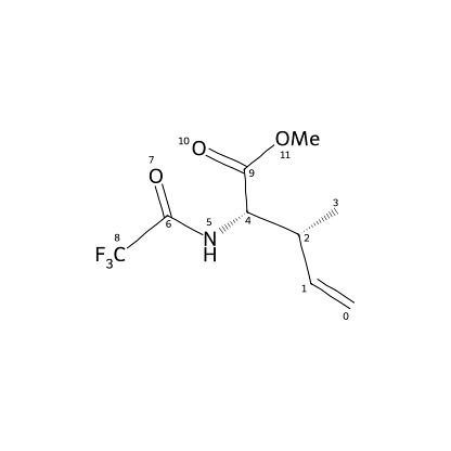 C=C[C@@H](C)[C@H](NC(=O)C(F)(F)F)C(=O)OC